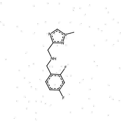 Cn1cnc(CNCc2ccc(F)cc2F)n1